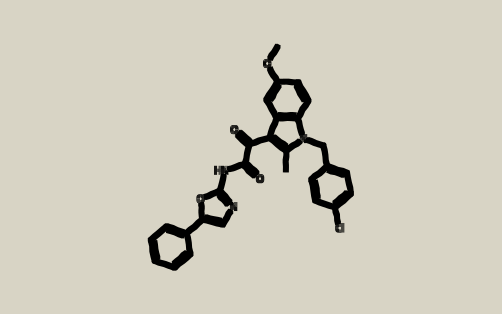 COc1ccc2c(c1)c(C(=O)C(=O)Nc1ncc(-c3ccccc3)o1)c(C)n2Cc1ccc(Cl)cc1